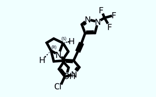 OCC1C[C@H]2CC[C@@H](C1)N2c1cc(Cl)ncc1C#Cc1cnn(C(F)(F)F)c1